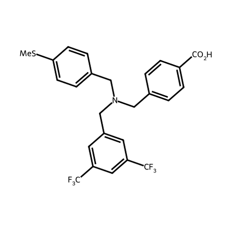 CSc1ccc(CN(Cc2ccc(C(=O)O)cc2)Cc2cc(C(F)(F)F)cc(C(F)(F)F)c2)cc1